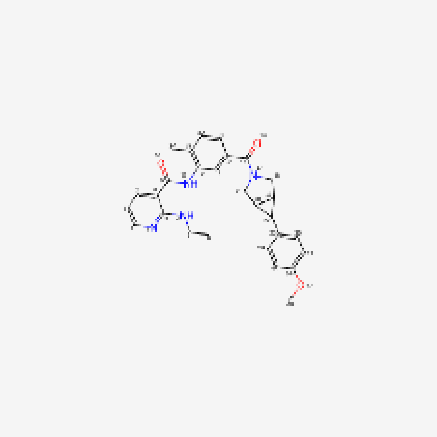 CCNc1ncccc1C(=O)Nc1cc(C(=O)N2CC3C(C2)C3c2ccc(OC)cc2)ccc1C